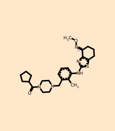 CO/N=C1\CCCc2sc(Nc3cccc(CN4CCN(C(=O)C5CCCC5)CC4)c3C)nc21